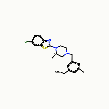 Cc1cc(CC=O)cc(CN2CCN(c3nc4ccc(Cl)cc4s3)[C@H](C)C2)c1